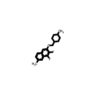 Cc1ccc2cc(OCC3CCC(C)CC3)c(F)c(F)c2c1